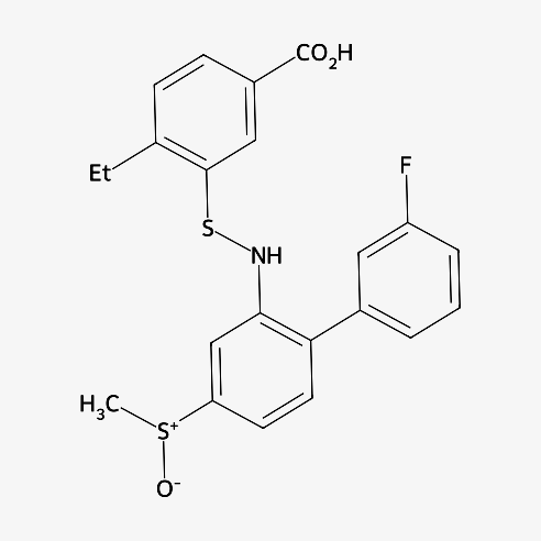 CCc1ccc(C(=O)O)cc1SNc1cc([S+](C)[O-])ccc1-c1cccc(F)c1